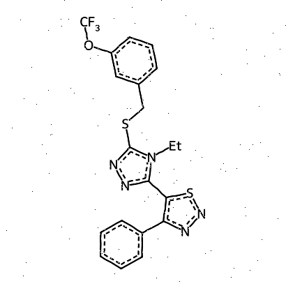 CCn1c(SCc2cccc(OC(F)(F)F)c2)nnc1-c1snnc1-c1ccccc1